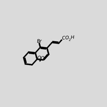 O=C(O)C=CC1=C(Br)C2=CC=CCC23OCOC3=C1